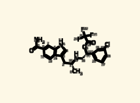 C[C@H](Cc1c[nH]c2cc(C(N)=O)ccc12)NC[C@H](OC(=O)C(F)(F)F)c1cccc(Cl)c1